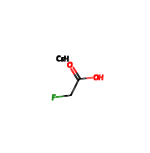 O=C(O)CF.[CsH]